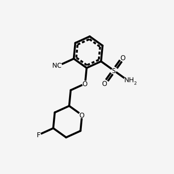 N#Cc1cccc(S(N)(=O)=O)c1OCC1CC(F)CCO1